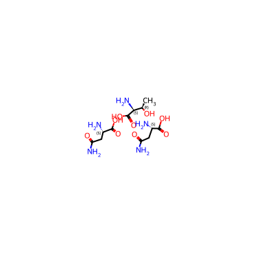 C[C@@H](O)[C@H](N)C(=O)O.NC(=O)C[C@H](N)C(=O)O.NC(=O)C[C@H](N)C(=O)O